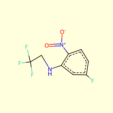 O=[N+]([O-])c1ccc(F)cc1NCC(F)(F)F